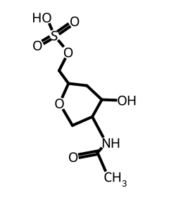 CC(=O)NC1COC(COS(=O)(=O)O)CC1O